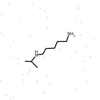 CC(C)NCCCCCN